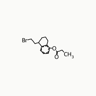 CCC(=O)Oc1cccc2c1CCCC2CCBr